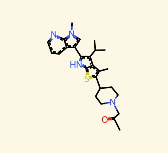 CC(=O)CN1CCC(c2sc3[nH]c(-c4cn(C)c5ncccc45)c(C(C)C)c3c2C)CC1